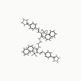 CC1(C)C(/C=C/c2ccc(N3CCCC3)cc2)=[N+](CCCC[N+]2=C(/C=C/c3ccc(N4CCCC4)cc3)C(C)(C)c3c2ccc2ccccc32)c2ccc3ccccc3c21